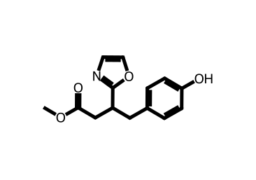 COC(=O)CC(Cc1ccc(O)cc1)c1ncco1